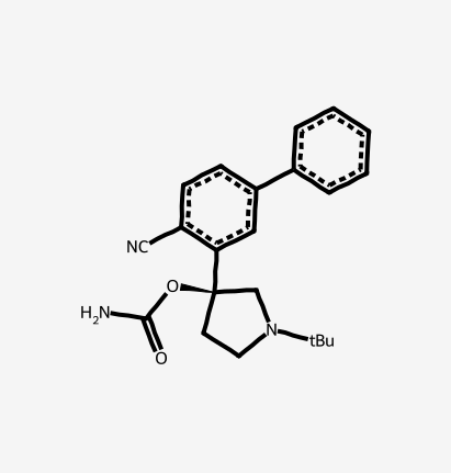 CC(C)(C)N1CC[C@](OC(N)=O)(c2cc(-c3ccccc3)ccc2C#N)C1